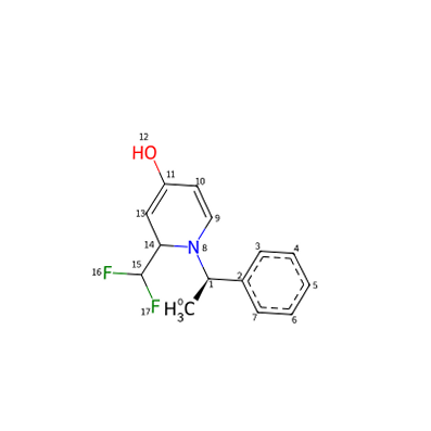 C[C@H](c1ccccc1)N1C=CC(O)=CC1C(F)F